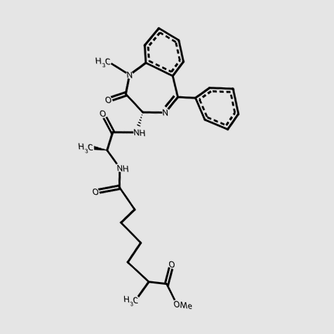 COC(=O)C(C)CCCCC(=O)N[C@@H](C)C(=O)N[C@H]1N=C(c2ccccc2)c2ccccc2N(C)C1=O